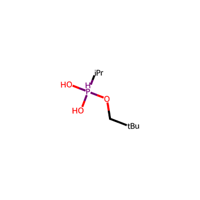 CC(C)[PH](O)(O)OCC(C)(C)C